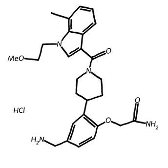 COCCn1cc(C(=O)N2CCC(c3cc(CN)ccc3OCC(N)=O)CC2)c2cccc(C)c21.Cl